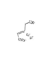 O=C([O-])C=CCC(=O)[O-].[Li+].[Li+]